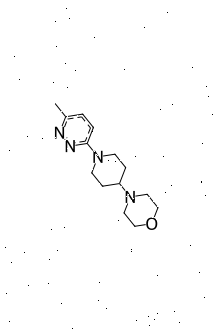 Cc1ccc(N2CCC(N3CCOCC3)CC2)nn1